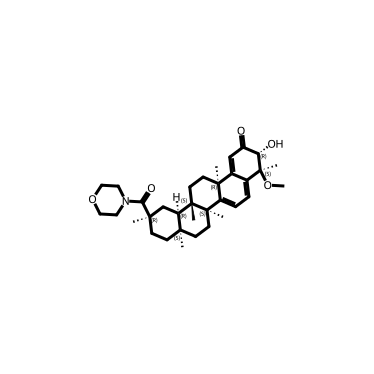 CO[C@@]1(C)C2=CC=C3[C@@](C)(CC[C@@]4(C)[C@@H]5C[C@](C)(C(=O)N6CCOCC6)CC[C@]5(C)CC[C@]34C)C2=CC(=O)[C@@H]1O